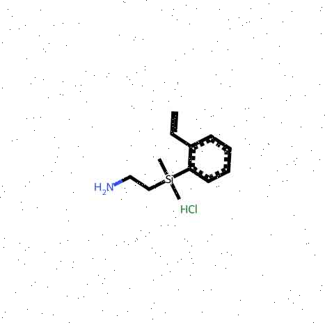 C=Cc1ccccc1[Si](C)(C)CCN.Cl